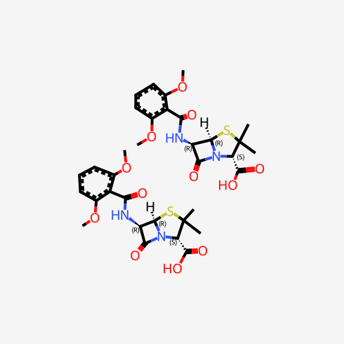 COc1cccc(OC)c1C(=O)N[C@@H]1C(=O)N2[C@@H]1SC(C)(C)[C@@H]2C(=O)O.COc1cccc(OC)c1C(=O)N[C@@H]1C(=O)N2[C@@H]1SC(C)(C)[C@@H]2C(=O)O